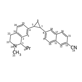 CC(C)C1c2cc(C3CC3c3ccc4cc(C#N)ccc4c3)ccc2CCN1C